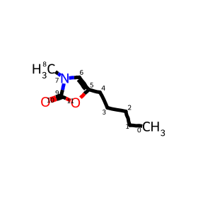 CCCCCc1cn(C)c(=O)o1